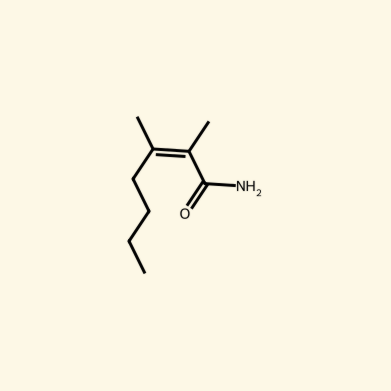 CCCCC(C)=C(C)C(N)=O